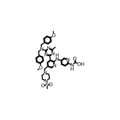 COc1ccc(CN(Cc2ccc(OC)cc2)c2nc(C)nc(-c3cc(CN4CCN(S(C)(=O)=O)CC4)cnc3Nc3ccc(NC(=O)O)nc3)n2)cc1